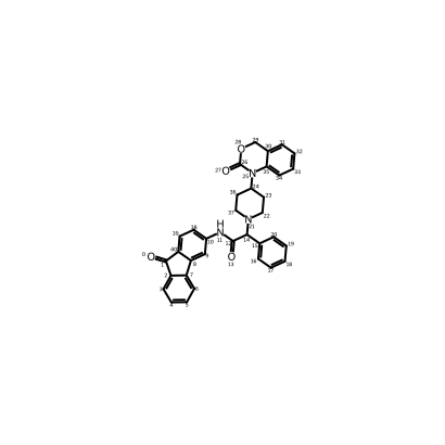 O=C1c2ccccc2-c2cc(NC(=O)C(c3ccccc3)N3CCC(N4C(=O)OCc5ccccc54)CC3)ccc21